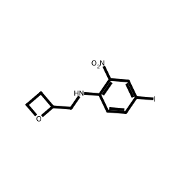 O=[N+]([O-])c1cc(I)ccc1NCC1CCO1